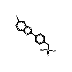 O=P(O)(O)Cc1ccc(-c2nc3cc(F)ccc3s2)cc1